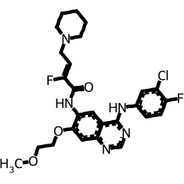 COCCOc1cc2ncnc(Nc3ccc(F)c(Cl)c3)c2cc1NC(=O)/C(F)=C/CN1CCCCC1